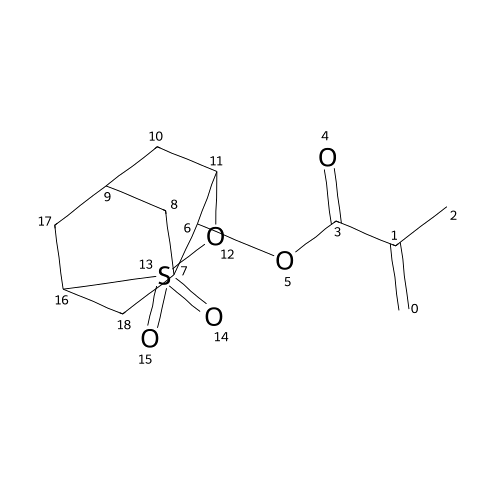 C=C(C)C(=O)OC1C2CC3CC1OS(=O)(=O)C(C3)C2